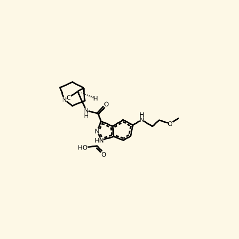 COCCNc1ccc2[nH]nc(C(=O)N[C@H]3CN4CCC3CC4)c2c1.O=CO